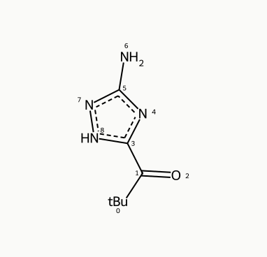 CC(C)(C)C(=O)c1nc(N)n[nH]1